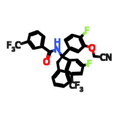 N#CCOc1cc([C@@](Cc2ccccc2)(NC(=O)c2cccc(C(F)(F)F)c2)c2cc(F)cc(C(F)(F)F)c2)ccc1F